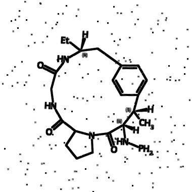 CC[C@@H]1Cc2ccc(cc2)[C@H](C)[C@H](NP)C(=O)N2CCCC2C(=O)NCC(=O)N1